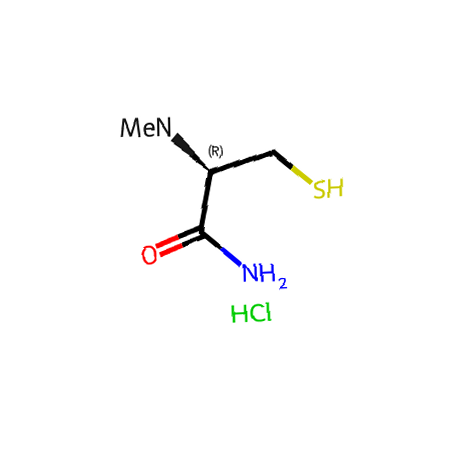 CN[C@@H](CS)C(N)=O.Cl